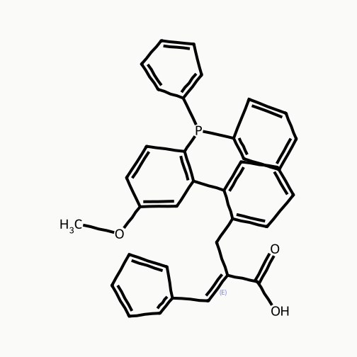 COc1ccc(P(c2ccccc2)c2ccccc2)c(-c2ccccc2C/C(=C\c2ccccc2)C(=O)O)c1